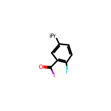 CC(C)c1ccc(F)c(C(=O)I)c1